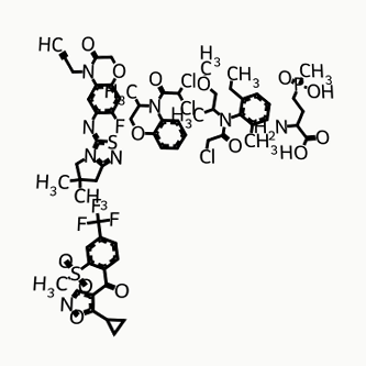 C#CCN1C(=O)COc2cc(F)c(/N=c3\snc4n3CC(C)(C)C4)cc21.CC1COc2ccccc2N1C(=O)C(Cl)Cl.CCc1cccc(C)c1N(C(=O)CCl)C(C)COC.CP(=O)(O)CCC(N)C(=O)O.CS(=O)(=O)c1cc(C(F)(F)F)ccc1C(=O)c1cnoc1C1CC1